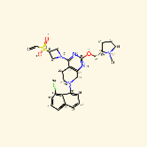 C=CS(=O)(=O)C1CN(c2nc(OC[C@@H]3CCCN3C)nc3c2CCN(c2cccc4cccc(Cl)c24)C3)C1